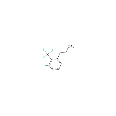 CCCc1cccc(F)c1C(F)(F)F